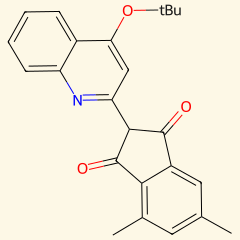 Cc1cc(C)c2c(c1)C(=O)C(c1cc(OC(C)(C)C)c3ccccc3n1)C2=O